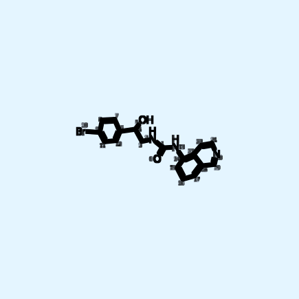 O=C(NCC(O)c1ccc(Br)cc1)Nc1cccc2cnccc12